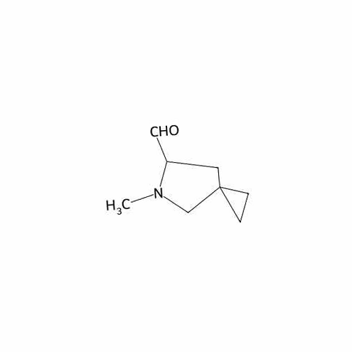 CN1CC2(CC2)CC1C=O